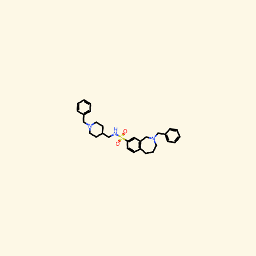 O=S(=O)(NCC1CCN(Cc2ccccc2)CC1)c1ccc2c(c1)CN(Cc1ccccc1)CCC2